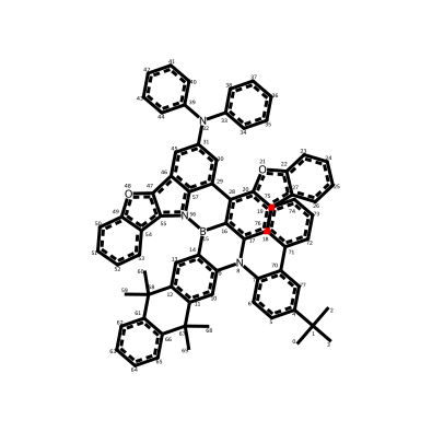 CC(C)(C)c1ccc(N2c3cc4c(cc3B3c5c2cc2c(oc6ccccc62)c5-c2cc(N(c5ccccc5)c5ccccc5)cc5c6oc7ccccc7c6n3c25)C(C)(C)c2ccccc2C4(C)C)c(-c2ccccc2)c1